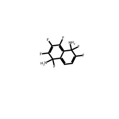 NC1(F)C2=CC=C(F)C(N)(F)C2=C(F)C(F)=C1F